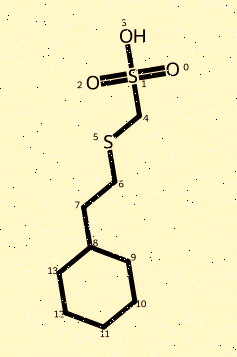 O=S(=O)(O)CSCCC1CCCCC1